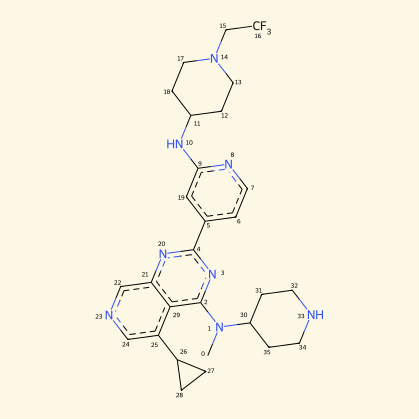 CN(c1nc(-c2ccnc(NC3CCN(CC(F)(F)F)CC3)c2)nc2cncc(C3CC3)c12)C1CCNCC1